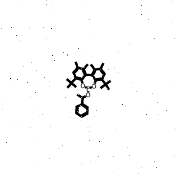 Cc1cc(C(C)(C)C)c2op(OC(C)c3ccccc3)oc3c(C(C)(C)C)cc(C)c(C)c3c2c1C